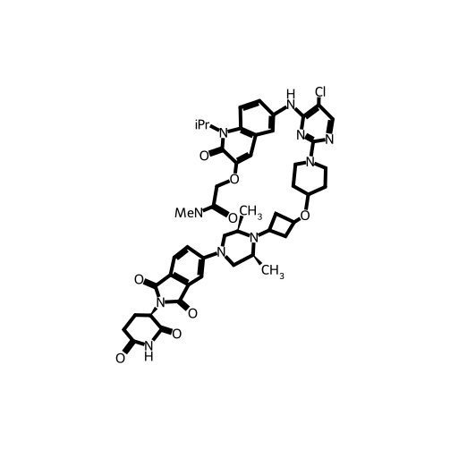 CNC(=O)COc1cc2cc(Nc3nc(N4CCC(OC5CC(N6[C@H](C)CN(c7ccc8c(c7)C(=O)N([C@@H]7CCC(=O)NC7=O)C8=O)C[C@@H]6C)C5)CC4)ncc3Cl)ccc2n(C(C)C)c1=O